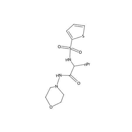 CCCC(NS(=O)(=O)c1cccs1)C(=O)NN1CCOCC1